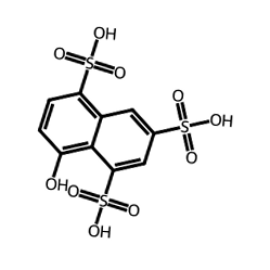 O=S(=O)(O)c1cc(S(=O)(=O)O)c2c(O)ccc(S(=O)(=O)O)c2c1